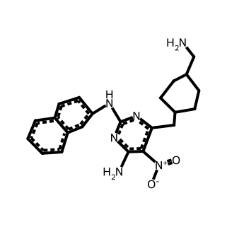 NCC1CCC(Cc2nc(Nc3ccc4ccccc4c3)nc(N)c2[N+](=O)[O-])CC1